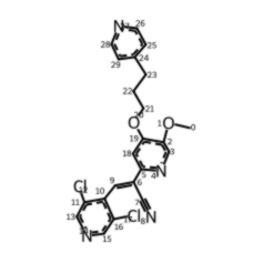 COc1cnc(C(C#N)=Cc2c(Cl)cncc2Cl)cc1OCCCc1ccncc1